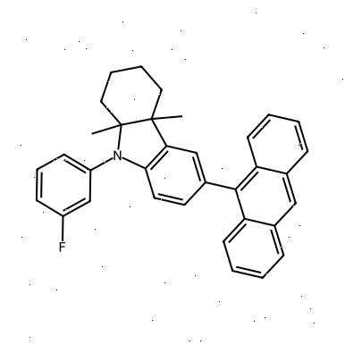 CC12CCCCC1(C)N(c1cccc(F)c1)c1ccc(-c3c4ccccc4cc4ccccc34)cc12